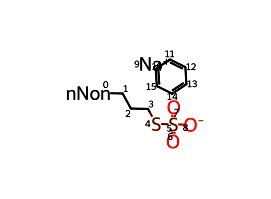 CCCCCCCCCCCCSS(=O)(=O)[O-].[Na+].c1ccccc1